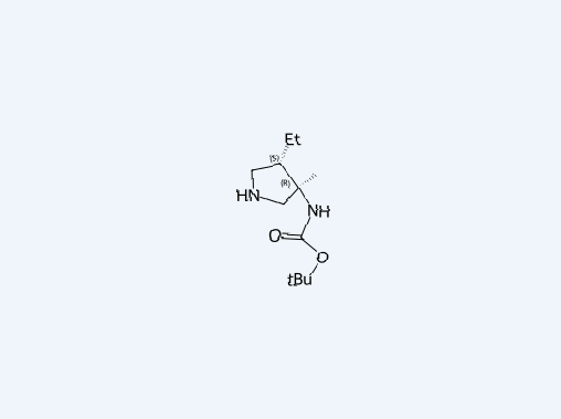 CC[C@H]1CNC[C@]1(C)NC(=O)OC(C)(C)C